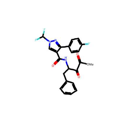 COC(=O)C(=O)C(Cc1ccccc1)NC(=O)c1cn(C(F)F)nc1-c1ccc(F)cc1